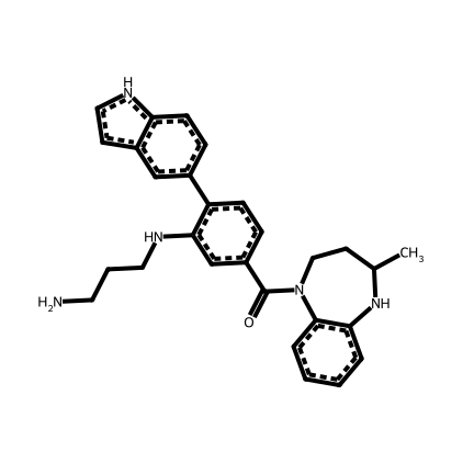 CC1CCN(C(=O)c2ccc(-c3ccc4[nH]ccc4c3)c(NCCCN)c2)c2ccccc2N1